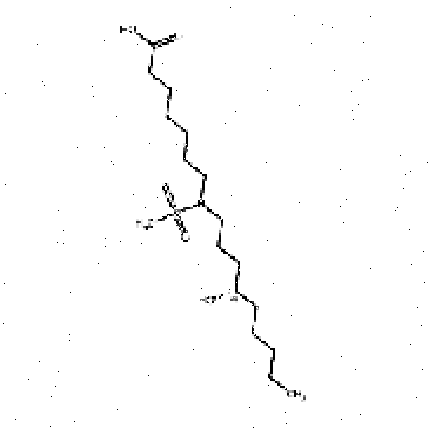 CCCCC[C@H](O)CCCN(CCCCCCC(=O)O)S(C)(=O)=O